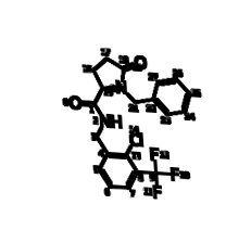 O=C(NCc1cccc(C(F)(F)F)c1Cl)C1CCC(=O)N1Cc1ccccc1